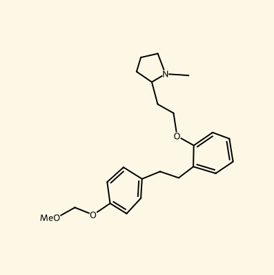 COCOc1ccc(CCc2ccccc2OCCC2CCCN2C)cc1